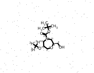 [2H]C([2H])([2H])O[C@H]1CO[C@H](CO)CN(C(=O)OC(C)(C)C)C1